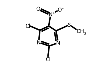 CSc1nc(Cl)nc(Cl)c1[N+](=O)[O-]